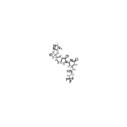 Cn1cnnc1CC1(c2ccc3c(c2)C(=O)N(c2cc(CNCCC(F)(F)F)cc(Cl)n2)C3)COC1